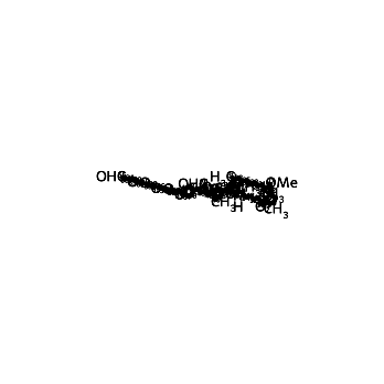 COC(C[C@@H]1CC[C@@H](C)C(C(=O)CCCCCNO)O1)/C(C)=C/C=C/C=C/C(C)CC(C)C(=O)CC(O)/C(C)=C/C(C)C(=O)CC(CCC1CCC(OCCOCCOCCOCCOCCC=O)CC1)OC=O